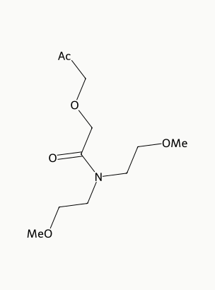 COCCN(CCOC)C(=O)COCC(C)=O